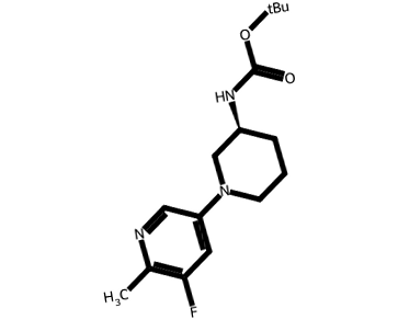 Cc1ncc(N2CCC[C@H](NC(=O)OC(C)(C)C)C2)cc1F